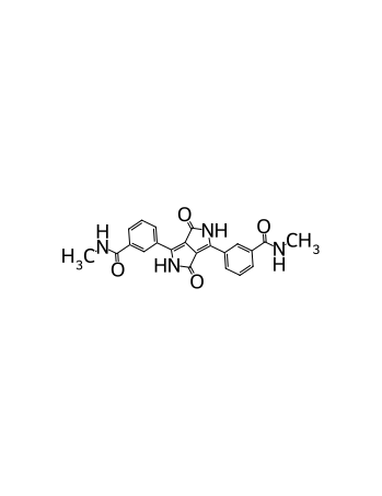 CNC(=O)c1cccc(C2=C3C(=O)NC(c4cccc(C(=O)NC)c4)=C3C(=O)N2)c1